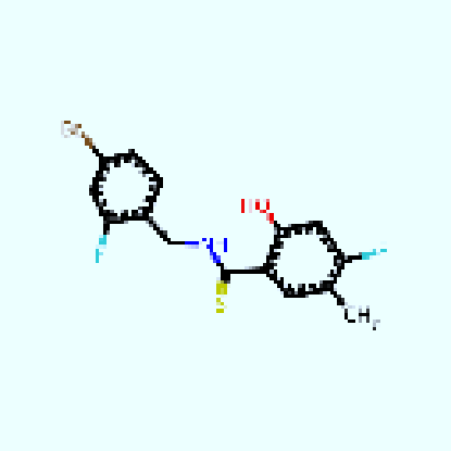 Cc1cc(C(=S)NCc2ccc(Br)cc2F)c(O)cc1F